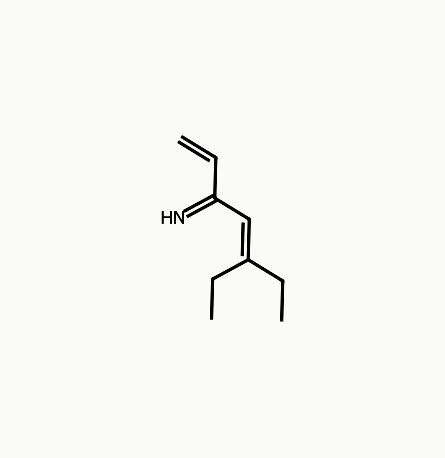 C=CC(=N)C=C(CC)CC